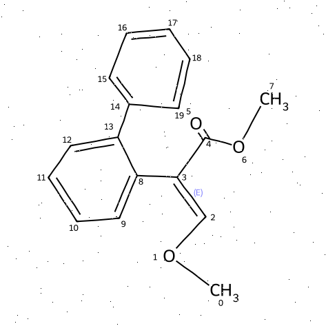 CO/C=C(/C(=O)OC)c1ccccc1-c1ccccc1